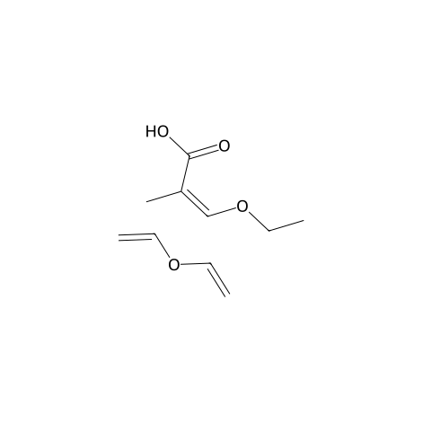 C=COC=C.CCOC=C(C)C(=O)O